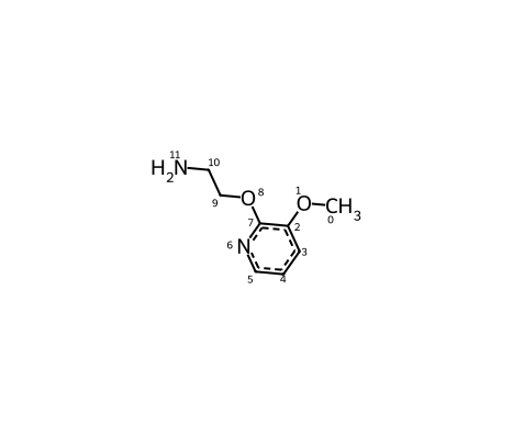 COc1cccnc1OCCN